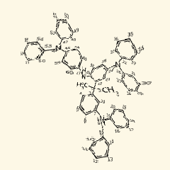 CC(C)(c1cccc(N(c2ccccc2)c2ccccc2)c1)c1cc(N(c2ccccc2)c2ccccc2)ccc1Nc1ccc(N(c2ccccc2)c2ccccc2)cc1